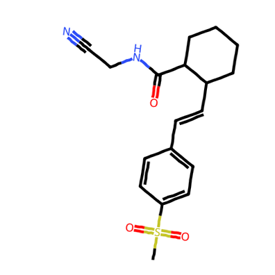 CS(=O)(=O)c1ccc(/C=C/C2CCCCC2C(=O)NCC#N)cc1